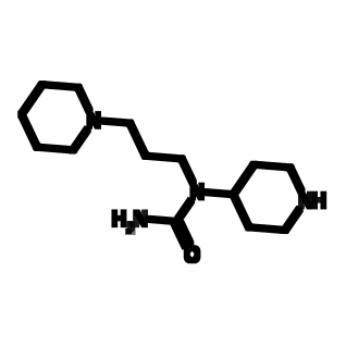 NC(=O)N(CCCN1CCCCC1)C1CCNCC1